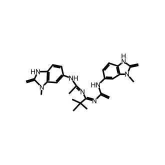 C=C(/N=C(\N=C(/C)Nc1ccc2c(c1)N(C)C(=C)N2)C(C)(C)C)Nc1ccc2c(c1)N(C)C(=C)N2